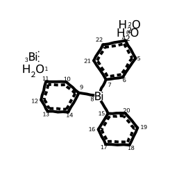 O.O.O.[Bi].c1cc[c]([Bi]([c]2ccccc2)[c]2ccccc2)cc1